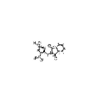 Cn1cc(C(F)F)c(CN2C(=O)c3ccccc3C2=O)n1